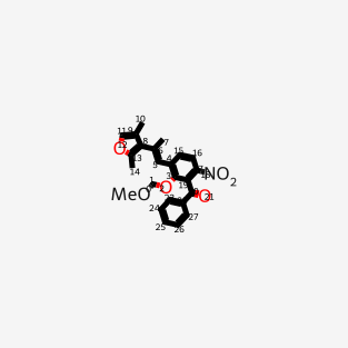 COCOc1c(C=C(C)c2c(C)coc2C)ccc([N+](=O)[O-])c1C(=O)c1ccccc1